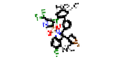 N#Cc1sccc1-c1c(-c2cccc(-c3ccc(C(=O)O)cc3Cl)c2)n(S(=O)(=O)c2ccc(C(F)F)nc2)c2ccc(F)cc12